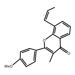 C/C=C\c1cccc2c(=O)c(C)c(-c3ccc(OC)cc3)oc12